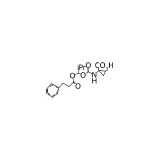 CC(C)C(OC(=O)CCc1ccccc1)OC(=O)NC1(C(=O)O)CC1